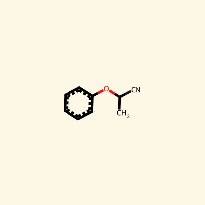 CC(C#N)Oc1[c]cccc1